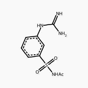 CC(=O)NS(=O)(=O)c1cccc(NC(=N)N)c1